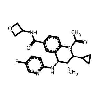 CC(=O)N1c2ccc(C(=O)NC3COC3)cc2[C@H](Nc2ccc(F)cn2)[C@@H](C)[C@@H]1C1CC1